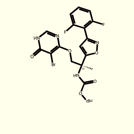 CC(C)(C)OC(=O)N[C@@](C)(COc1nc[nH]c(=O)c1Br)c1cc(-c2c(F)cccc2F)no1